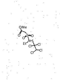 CCN(SC(Cl)(Cl)C(Cl)Cl)S(=O)(=O)CC(=O)OC